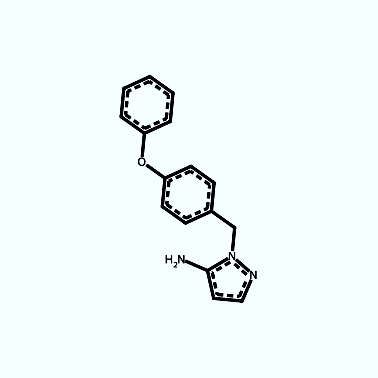 Nc1ccnn1Cc1ccc(Oc2ccccc2)cc1